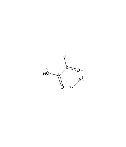 CC(=O)C(=O)O.CC(C)=O